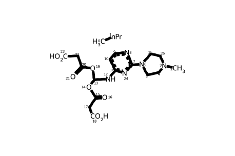 CCCC.CN1CCN(c2nccc(NC(OC(=O)CC(=O)O)OC(=O)CC(=O)O)n2)CC1